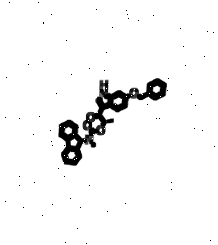 C[C@@H](OC(=O)N(C)C1c2ccccc2-c2ccccc21)C(=O)c1c[nH]c2cc(OCc3ccccc3)ccc12